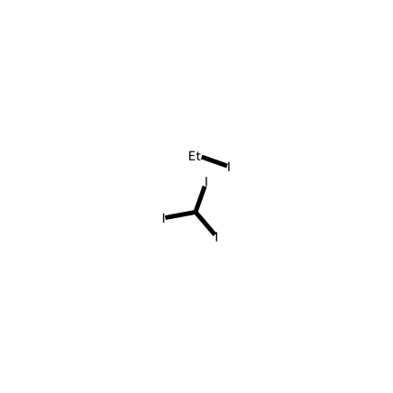 CCI.IC(I)I